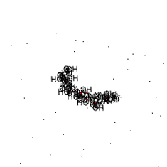 Nc1c(N=Nc2ccc3c(O)c(N=Nc4ccc(N=Nc5c(OC=O)nn(-c6cc(S(=O)(=O)O)ccc6S(=O)(=O)O)c5O)c(S(=O)(=O)O)c4)c(S(=O)(=O)O)cc3c2S(=O)(=O)O)cc(S(=O)(=O)O)c2ccc(N=Nc3ccc([N+](=O)[O-])cc3C(=O)O)c(O)c12